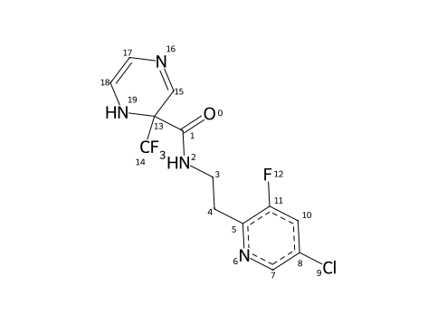 O=C(NCCc1ncc(Cl)cc1F)C1(C(F)(F)F)C=NC=CN1